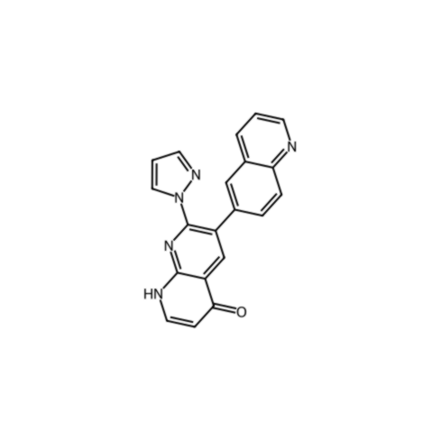 O=c1cc[nH]c2nc(-n3cccn3)c(-c3ccc4ncccc4c3)cc12